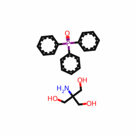 NC(CO)(CO)CO.O=P(c1ccccc1)(c1ccccc1)c1ccccc1